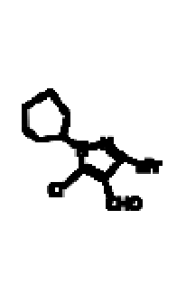 CCCc1nn(C2CCCCC2)c(Cl)c1C=O